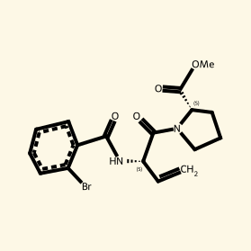 C=C[C@H](NC(=O)c1ccccc1Br)C(=O)N1CCC[C@H]1C(=O)OC